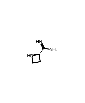 N=C(N)[C@@H]1CCN1